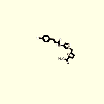 CC(=O)c1ccc(Cn2cc(NC(=O)/C=C/c3ccc(Cl)cc3)cn2)o1